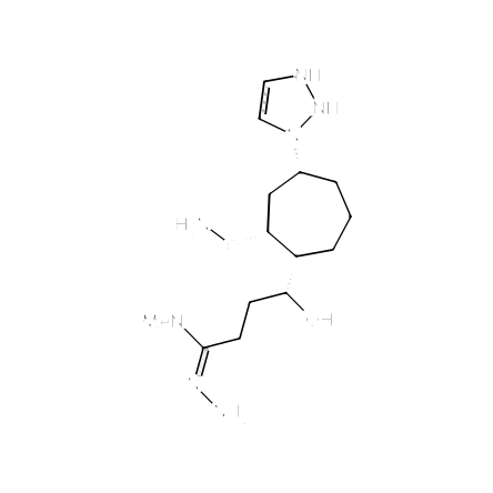 CN/C(CCC(O)[C@H]1CCC[C@@H](N2C=CNN2)C[C@H]1ON)=N/N